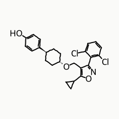 Oc1ccc([C@H]2CC[C@H](OCc3c(-c4c(Cl)cccc4Cl)noc3C3CC3)CC2)cc1